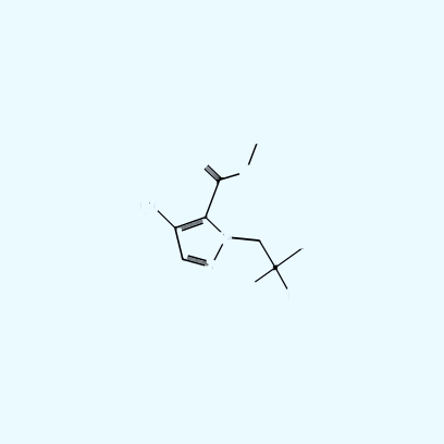 COC(=O)c1c(N)cnn1CC(F)(F)F